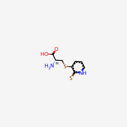 N[C@@H](CSc1ccc[nH]c1=S)C(=O)O